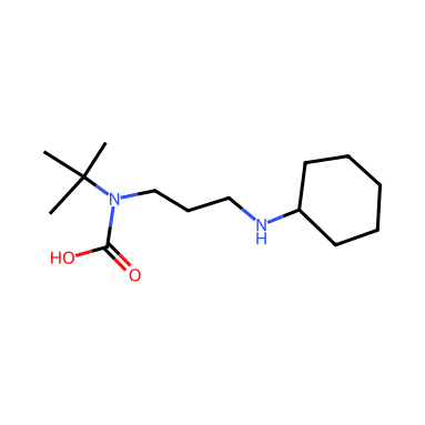 CC(C)(C)N(CCCNC1CCCCC1)C(=O)O